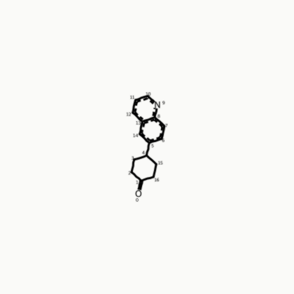 O=C1CCC(c2ccc3ncccc3c2)CC1